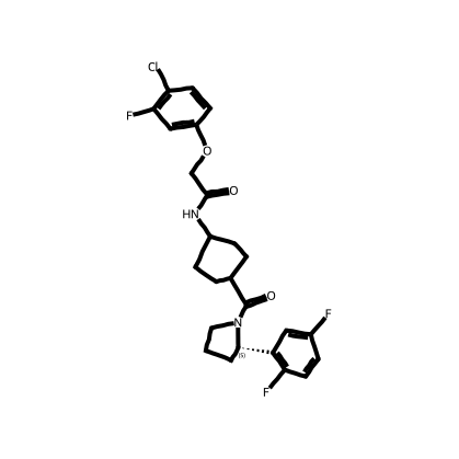 O=C(COc1ccc(Cl)c(F)c1)NC1CCC(C(=O)N2CCC[C@H]2c2cc(F)ccc2F)CC1